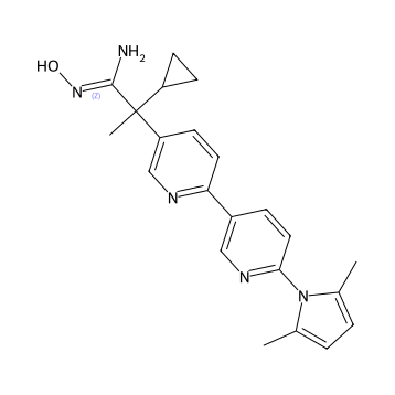 Cc1ccc(C)n1-c1ccc(-c2ccc(C(C)(/C(N)=N/O)C3CC3)cn2)cn1